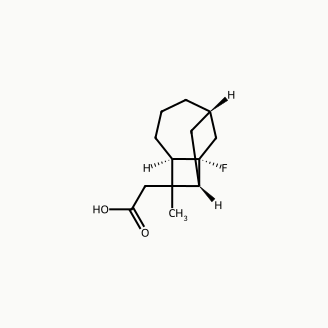 CC1(CC(=O)O)[C@H]2CCC[C@H]3C[C@@H]1[C@]2(F)C3